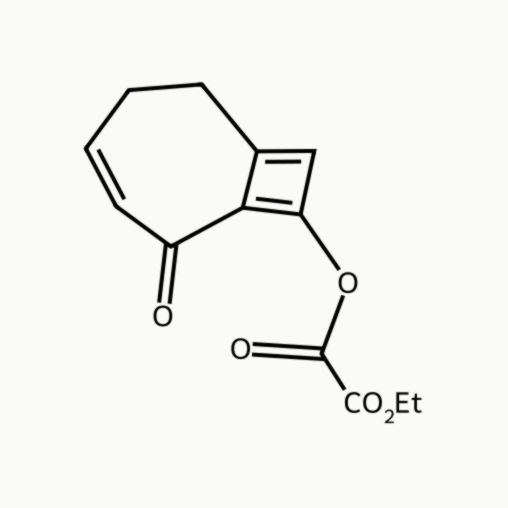 CCOC(=O)C(=O)OC1=C2C(=O)C=CCCC2=C1